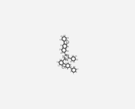 c1ccc(-c2ccc3c(c2)oc2cccc(-c4nc(-c5ccccc5)nc(-c5ccc6cc7c(cc6c5)oc5ccccc57)n4)c23)cc1